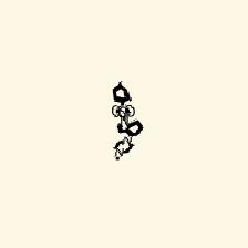 Cc1ccc(S(=O)(=O)n2ccc3c(N4CCN(C)CC4)cccc32)cc1